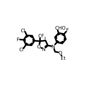 CCOCN(C1=NOC(c2cc(Cl)c(F)c(Cl)c2)(C(F)(F)F)C1)c1ccc(F)c(C=O)c1